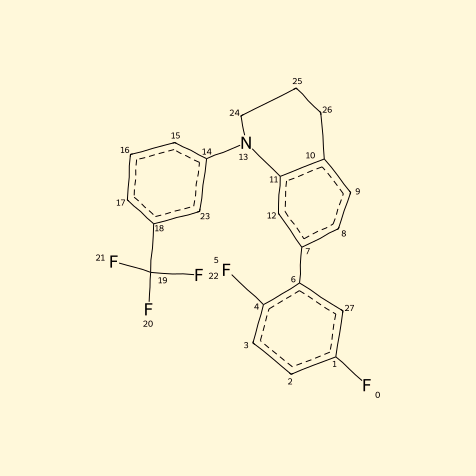 Fc1ccc(F)c(-c2ccc3c(c2)N(c2cccc(C(F)(F)F)c2)CCC3)c1